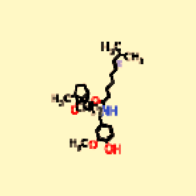 CC12CCC(CC1=O)C2(C)C.COc1cc(CNC(=O)CCCC/C=C/C(C)C)ccc1O